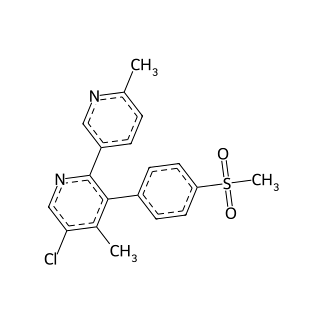 Cc1ccc(-c2ncc(Cl)c(C)c2-c2ccc(S(C)(=O)=O)cc2)cn1